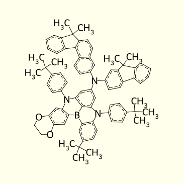 CC(C)(C)c1ccc(N2c3ccc(C(C)(C)C)cc3B3c4cc5c(cc4N(c4ccc(C(C)(C)C)cc4)c4cc(N(c6ccc7c(c6)C(C)(C)c6ccccc6-7)c6ccc7c8c(ccc7c6)C(C)(C)c6ccccc6-8)cc2c43)OCCO5)cc1